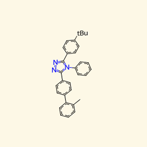 Cc1ccccc1-c1ccc(-c2nnc(-c3ccc(C(C)(C)C)cc3)n2-c2ccccc2)cc1